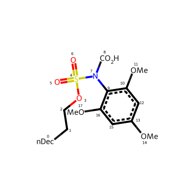 CCCCCCCCCCCCOS(=O)(=O)N(C(=O)O)c1c(OC)cc(OC)cc1OC